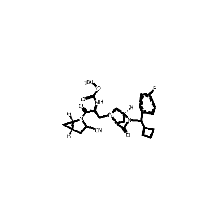 CC(C)(C)OC(=O)NC(CN1C[C@@H]2CC1C(=O)N2C(c1ccc(F)cc1)C1CCC1)C(=O)N1C(C#N)C[C@@H]2C[C@@H]21